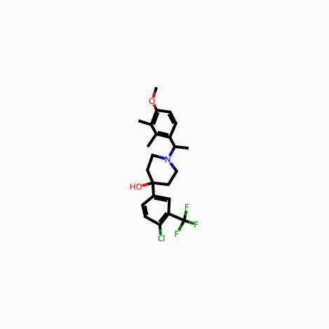 COc1ccc(C(C)N2CCC(O)(c3ccc(Cl)c(C(F)(F)F)c3)CC2)c(C)c1C